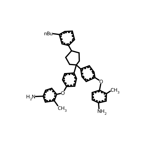 CCCCc1cccc(C2CCC(c3ccc(Oc4ccc(N)cc4C)cc3)(c3ccc(Oc4ccc(N)cc4C)cc3)CC2)c1